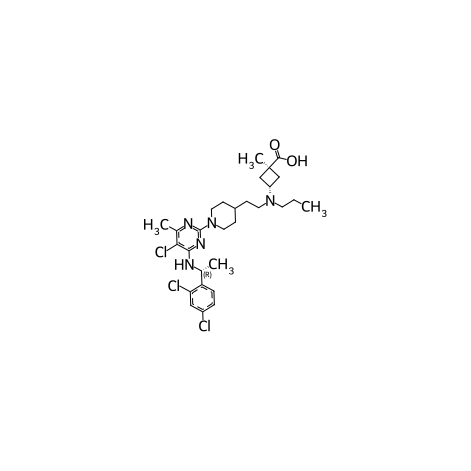 CCCN(CCC1CCN(c2nc(C)c(Cl)c(N[C@H](C)c3ccc(Cl)cc3Cl)n2)CC1)[C@H]1C[C@](C)(C(=O)O)C1